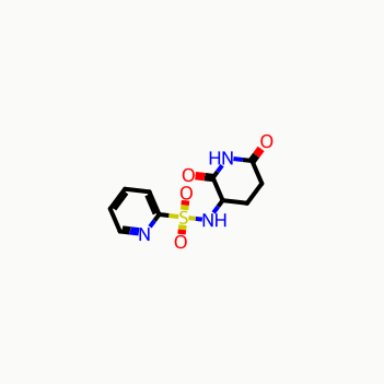 O=C1CCC(NS(=O)(=O)c2ccccn2)C(=O)N1